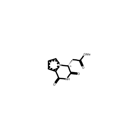 COC(=O)C[C@@H]1C(=O)NC(=O)c2cccn21